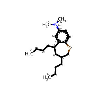 CCCCC1CSc2ccc(N(C)C)cc2C(CCCC)C1